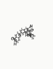 N#C[C@H](Cc1ccc(N2CCC3C(=O)NCCC3C2)cc1F)NC(=O)C1NC2CCC1C2